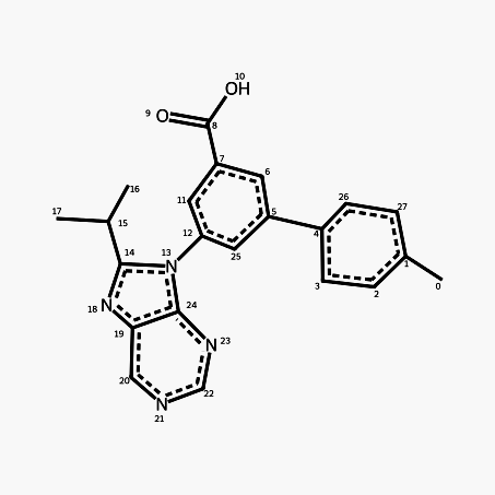 Cc1ccc(-c2cc(C(=O)O)cc(-n3c(C(C)C)nc4cncnc43)c2)cc1